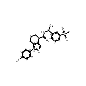 CCCC(NC(=O)N1CCCc2c1cnn2-c1ccc(F)cc1)c1cncc(S(C)(=O)=O)c1